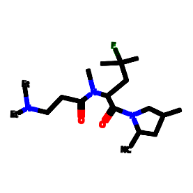 CCN(CC)CCC(=O)N(C)C(CC(C)(C)F)C(=O)N1CC(C)CC1C#N